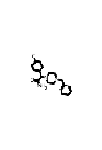 NC(=O)C(c1ccc(F)cc1)N1CCN(Cc2ccccc2)CC1